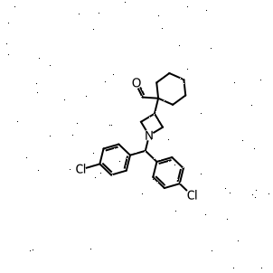 O=CC1(C2CN(C(c3ccc(Cl)cc3)c3ccc(Cl)cc3)C2)CCCCC1